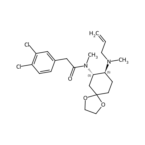 C=CCN(C)[C@H]1CCC2(C[C@@H]1N(C)C(=O)Cc1ccc(Cl)c(Cl)c1)OCCO2